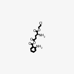 Nc1ccccc1C(=O)OC(=O)CC[C@H](N)C(=O)OCCCl